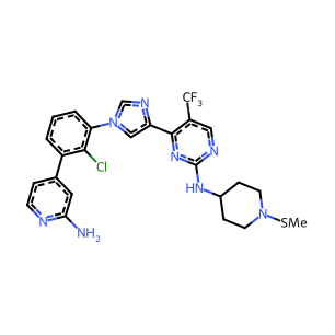 CSN1CCC(Nc2ncc(C(F)(F)F)c(-c3cn(-c4cccc(-c5ccnc(N)c5)c4Cl)cn3)n2)CC1